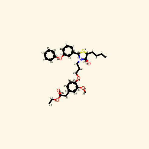 CCCCC1SC(c2cccc(Oc3ccccc3)c2)N(CCCOc2ccc(CC(=O)OCC)cc2OC)C1=O